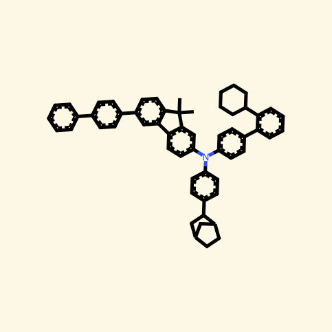 CC1(C)c2ccc(-c3ccc(-c4ccccc4)cc3)cc2-c2ccc(N(c3ccc(-c4ccccc4C4CCCCC4)cc3)c3ccc(C4CC5CCC4C5)cc3)cc21